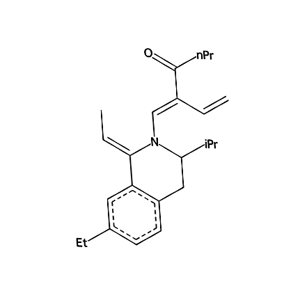 C=C/C(=C\N1/C(=C\C)c2cc(CC)ccc2CC1C(C)C)C(=O)CCC